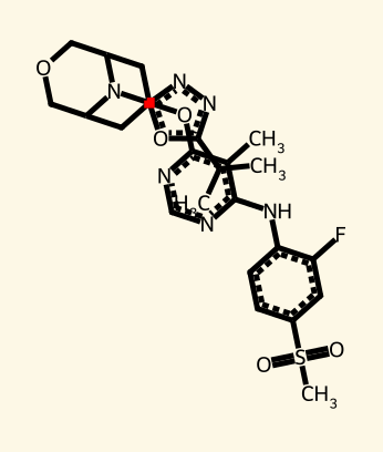 Cc1c(Nc2ccc(S(C)(=O)=O)cc2F)ncnc1OC1CC2COCC(C1)N2c1nnc(C(C)C)o1